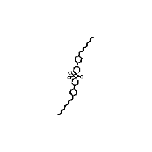 CCCCCCCCC1CCC(C2CC[C@]3(CC2)C(=O)[C@@]2(CC[C@@H](C4CCC(CCCCCCCC)CC4)CC2)C3(Cl)Cl)CC1